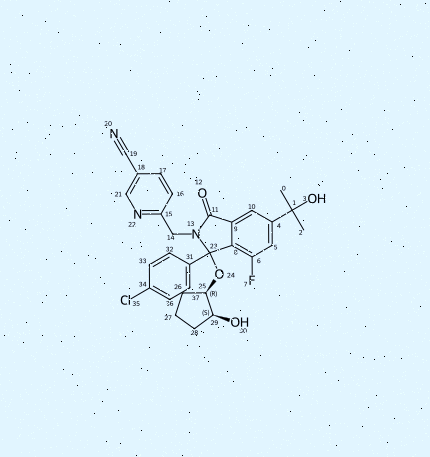 CC(C)(O)c1cc(F)c2c(c1)C(=O)N(Cc1ccc(C#N)cn1)C2(O[C@@H]1CCC[C@@H]1O)c1ccc(Cl)cc1